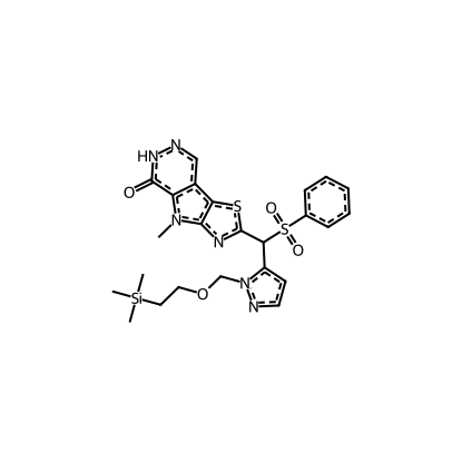 Cn1c2nc(C(c3ccnn3COCC[Si](C)(C)C)S(=O)(=O)c3ccccc3)sc2c2cn[nH]c(=O)c21